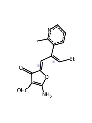 CC/C=C(/C=C1\OC(N)=C(C=O)C1=O)c1cccnc1C